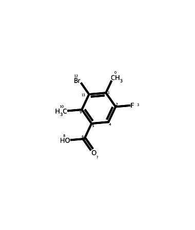 Cc1c(F)cc(C(=O)O)c(C)c1Br